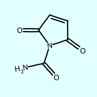 NC(=O)N1C(=O)C=CC1=O